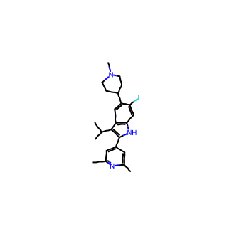 Cc1cc(-c2[nH]c3cc(F)c(C4CCN(C)CC4)cc3c2C(C)C)cc(C)n1